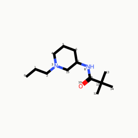 CCCN1CCCC(NC(=O)C(C)(C)C)C1